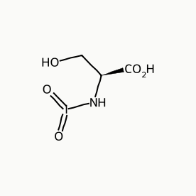 O=C(O)[C@H](CO)NI(=O)=O